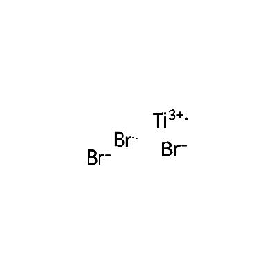 [Br-].[Br-].[Br-].[Ti+3]